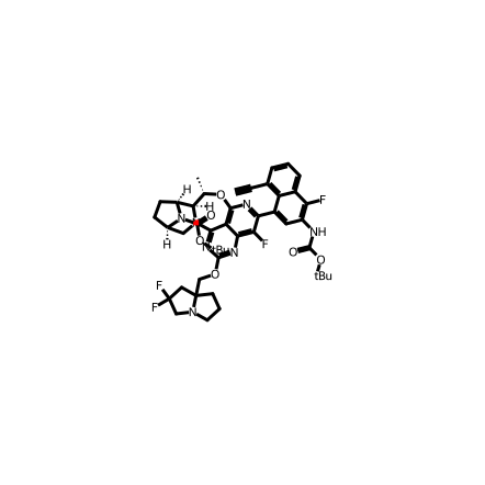 C#Cc1cccc2c(F)c(NC(=O)OC(C)(C)C)cc(-c3nc4c5c(nc(OCC67CCCN6CC(F)(F)C7)nc5c3F)N3C[C@H]5CC[C@@H]([C@H]3[C@H](C)O4)N5C(=O)OC(C)(C)C)c12